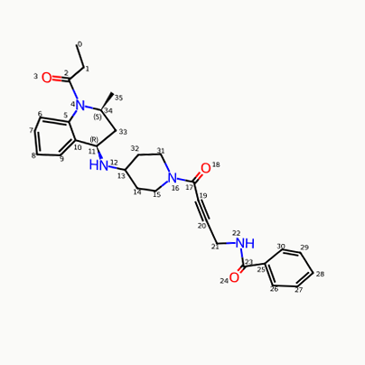 CCC(=O)N1c2ccccc2[C@H](NC2CCN(C(=O)C#CCNC(=O)c3ccccc3)CC2)C[C@@H]1C